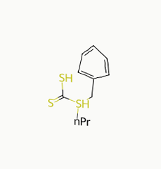 CCC[SH](Cc1ccccc1)C(=S)S